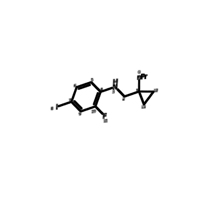 CCCC1(CNc2ccc(I)cc2F)CC1